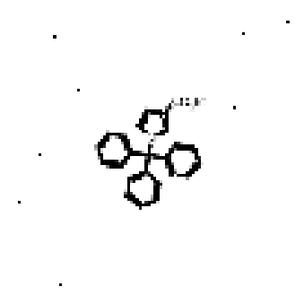 CCOC(=O)N1C=CN(C(c2ccccc2)(c2ccccc2)c2ccccc2)C1